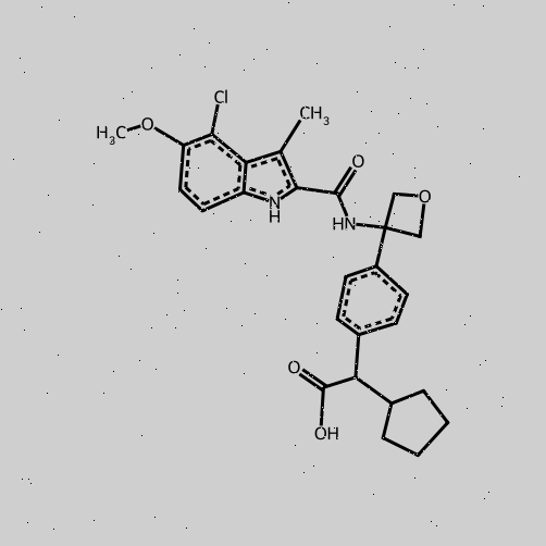 COc1ccc2[nH]c(C(=O)NC3(c4ccc(C(C(=O)O)C5CCCC5)cc4)COC3)c(C)c2c1Cl